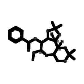 CO[C@@H]1OC2COC(C)(C)O[C@H]2[C@@H]2OC(C)(C)OC2C1OC(=O)c1ccccc1